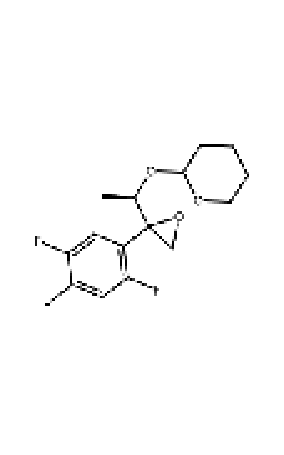 C[C@@H](OC1CCCCO1)C1(c2cc(F)c(F)cc2F)CO1